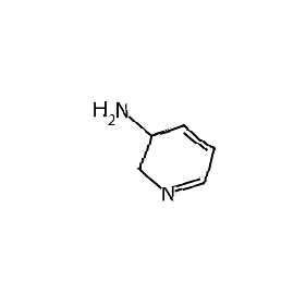 NC1C=CC=NC1